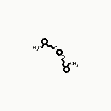 CCC1CCCCC1CCCOc1ccc(OCCCC2CCCCC2CC)cc1